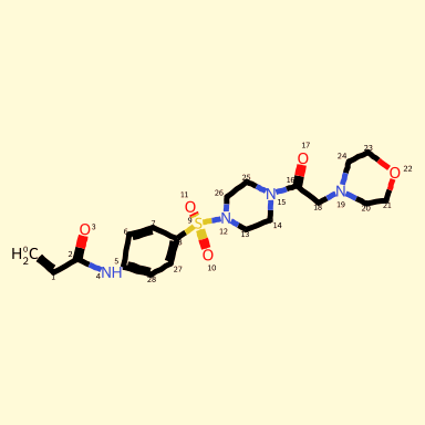 C=CC(=O)Nc1ccc(S(=O)(=O)N2CCN(C(=O)CN3CCOCC3)CC2)cc1